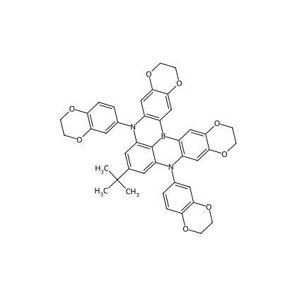 CC(C)(C)c1cc2c3c(c1)N(c1ccc4c(c1)OCCO4)c1cc4c(cc1B3c1cc3c(cc1N2c1ccc2c(c1)OCCO2)OCCO3)OCCO4